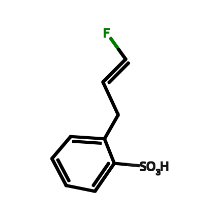 O=S(=O)(O)c1ccccc1CC=CF